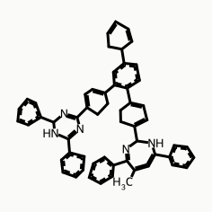 CC1=C=C(c2ccccc2)NC(C2=CC=C(c3ccc(C4C=CC=CC4)cc3C3=CC=C(C4=NC(c5ccccc5)NC(c5ccccc5)=N4)CC3)CC2)N=C1c1ccccc1